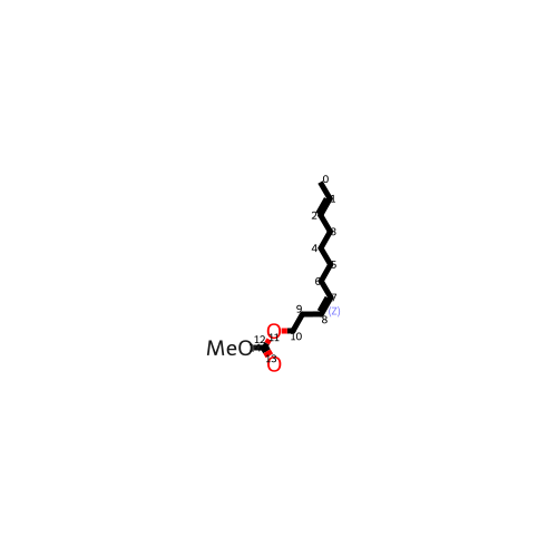 CC=CCCCC/C=C\CCOC(=O)OC